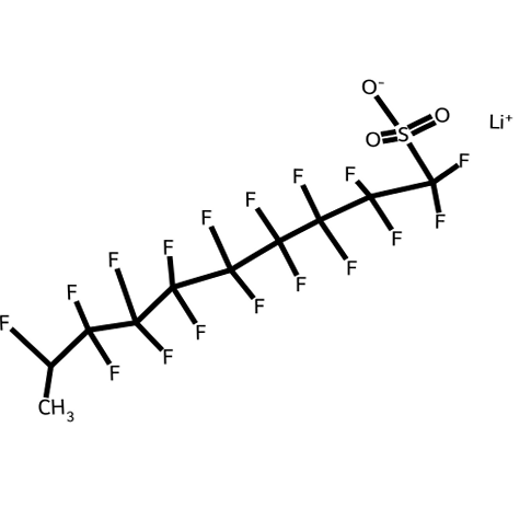 CC(F)C(F)(F)C(F)(F)C(F)(F)C(F)(F)C(F)(F)C(F)(F)C(F)(F)C(F)(F)S(=O)(=O)[O-].[Li+]